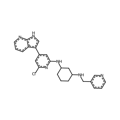 Clc1cc(-c2c[nH]c3ncccc23)cc(NC2CCCC(NCc3cccnc3)C2)n1